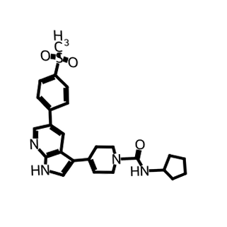 CS(=O)(=O)c1ccc(-c2cnc3[nH]cc(C4=CCN(C(=O)NC5CCCC5)CC4)c3c2)cc1